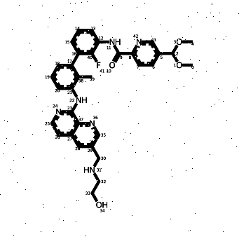 COC(OC)c1ccc(C(=O)Nc2cccc(-c3cccc(Nc4nccc5cc(CNCCO)cnc45)c3C)c2F)nc1